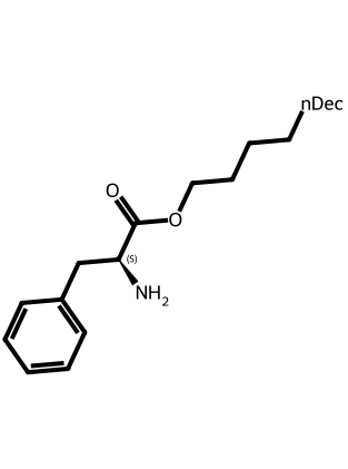 CCCCCCCCCCCCCCOC(=O)[C@@H](N)Cc1ccccc1